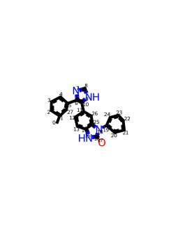 Cc1cccc(-c2nc[nH]c2-c2ccc3[nH]c(=O)n(-c4ccccc4)c3c2)c1